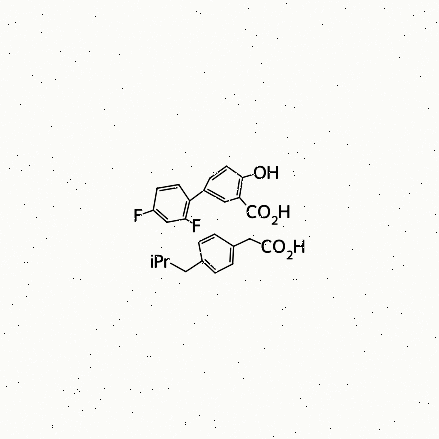 CC(C)Cc1ccc(CC(=O)O)cc1.O=C(O)c1cc(-c2ccc(F)cc2F)ccc1O